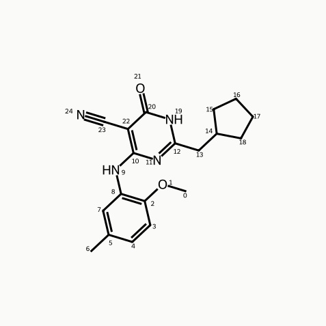 COc1ccc(C)cc1Nc1nc(CC2CCCC2)[nH]c(=O)c1C#N